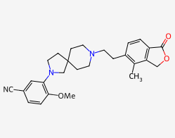 COc1ccc(C#N)cc1N1CCC2(CCN(CCc3ccc4c(c3C)COC4=O)CC2)C1